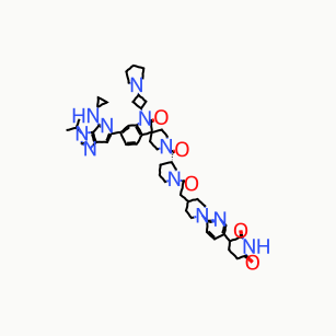 CC(C)n1cnc2cc(-c3ccc4c(c3)N([C@H]3C[C@@H](N5CCCCC5)C3)C(=O)C43CCN(C(=O)[C@H]4CCCN(C(=O)CC5CCN(c6ccc(C7CCC(=O)NC7=O)cn6)CC5)C4)CC3)nc(NC3CC3)c21